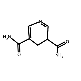 NC(=O)C1=CN=CC(C(N)=O)C1